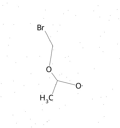 CC([O])OCBr